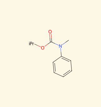 CC(C)OC(=O)N(C)c1ccccc1